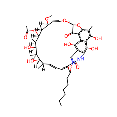 CCCCCCCO/N=C/c1c2c(O)c3c(O)c(C)c4c(c3c1O)C(=O)[C@@](C)(O/C=C/[C@H](OC)[C@@H](C)[C@@H](OC(C)=O)[C@H](C)[C@H](O)[C@H](C)[C@@H](O)[C@@H](C)/C=C/C=C(/C)C(=O)N2)O4